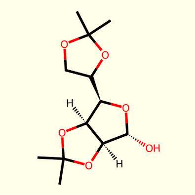 CC1(C)OCC([C@H]2O[C@H](O)[C@H]3OC(C)(C)O[C@H]32)O1